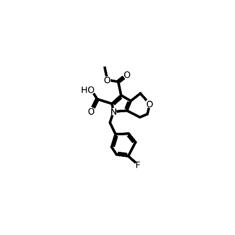 COC(=O)c1c2c(n(Cc3ccc(F)cc3)c1C(=O)O)CCOC2